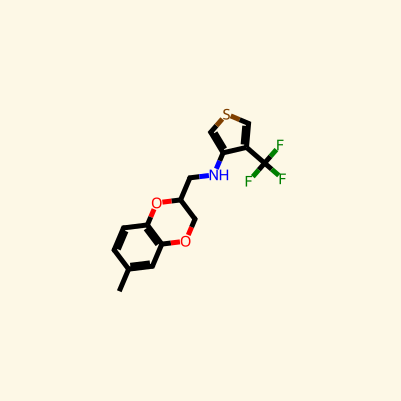 Cc1ccc2c(c1)OCC(CNc1cscc1C(F)(F)F)O2